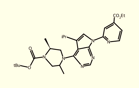 CCOC(=O)c1ccnc(-n2cc(C(C)C)c3c(N4C[C@H](C)N(C(=O)OC(C)(C)C)CC4C)ncnc32)c1